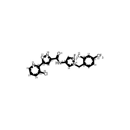 O=C(Nc1cnn(Cc2ccc(C(F)(F)F)cc2C(F)(F)F)c1)c1cc(-c2ncccc2Cl)on1